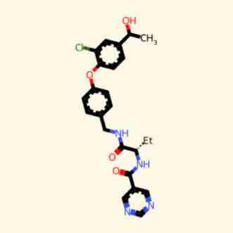 CC[C@H](NC(=O)c1cncnc1)C(=O)NCc1ccc(Oc2ccc(C(C)O)cc2Cl)cc1